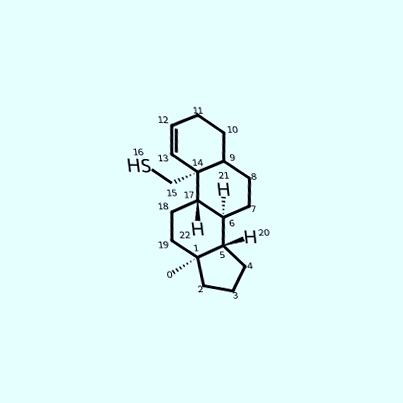 C[C@@]12CCC[C@H]1[C@@H]1CCC3CCC=C[C@]3(CS)[C@H]1CC2